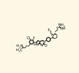 C[C@H](N)CCCc1cc(Cl)c(F)c(-c2cc3cn(-c4ccc([C@@H]5CCC[C@@H](CCSC(=N)N)N5CCF)cc4)c(=O)nc3[nH]2)c1